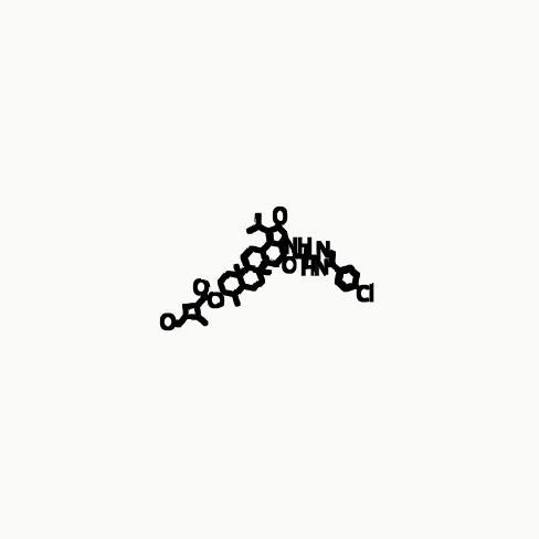 CC(C)C1=C2C3CCC4C(C)(CCC5C(C)C(OC(=O)C6CC(C=O)C6C)CCC54C)C3CCC2(NC(=O)C(C)(C)c2ncc(-c3ccc(Cl)cc3)[nH]2)CC1=O